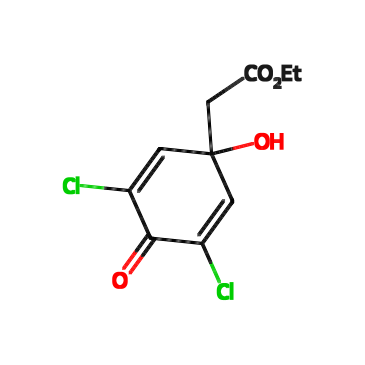 CCOC(=O)CC1(O)C=C(Cl)C(=O)C(Cl)=C1